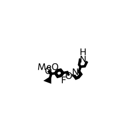 COc1cc(COc2cccc(C3CCNCC3)n2)c(F)cc1C(=O)C1CC1